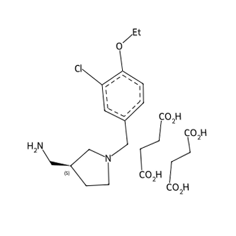 CCOc1ccc(CN2CC[C@@H](CN)C2)cc1Cl.O=C(O)CCC(=O)O.O=C(O)CCC(=O)O